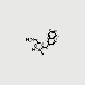 NCC(=O)N[C@@H](Cc1ccc2ccccc2c1)C(=O)O